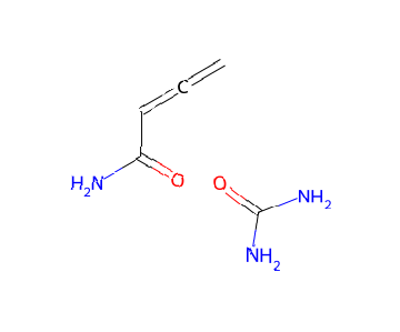 C=C=CC(N)=O.NC(N)=O